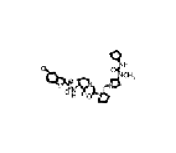 CN(C(=O)NC1CCCC1)C1CCN(C[C@@H]2CCCN2C(=O)CN2CCC[C@H](NS(=O)(=O)c3cc4cc(Cl)ccc4s3)C2=O)C1